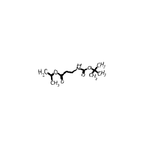 CC(C)OC(=O)CCNC(=O)OC(C)(C)C